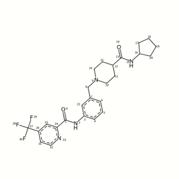 O=C(Nc1cccc(CN2CCC(C(=O)NC3CCCC3)CC2)c1)c1cc(C(F)(F)F)ccn1